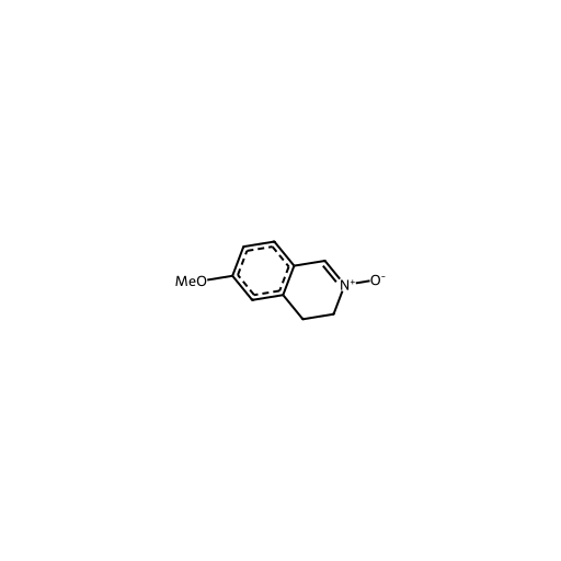 COc1ccc2c(c1)CC[N+]([O-])=C2